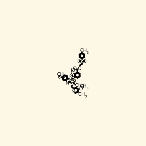 COc1ccc2c(c1)nc([S+]([O-])Cc1ncc(C)c(OC)c1C)n2S(=O)(=O)c1cccc(C(=O)OCCS(=O)(=O)c2ccc(C)cc2)c1OC